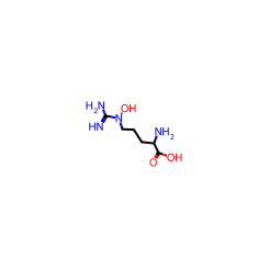 N=C(N)N(O)CCCC(N)C(=O)O